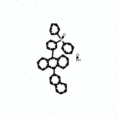 O=P.O=P(c1ccccc1)(c1ccccc1)c1cccc(-c2c3ccccc3c(-c3ccc4ccccc4c3)c3ccccc23)c1